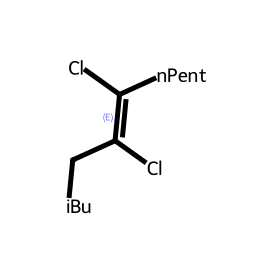 CCCCC/C(Cl)=C(\Cl)CC(C)CC